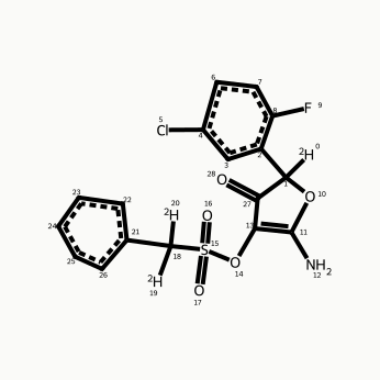 [2H]C1(c2cc(Cl)ccc2F)OC(N)=C(OS(=O)(=O)C([2H])([2H])c2ccccc2)C1=O